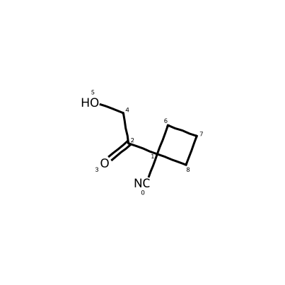 N#CC1(C(=O)CO)CCC1